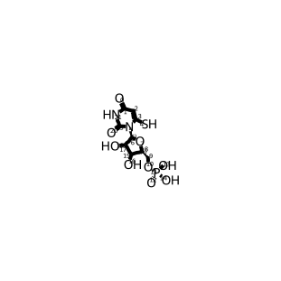 O=c1cc(S)n([C@H]2O[C@@H](COP(=O)(O)O)C(O)C2O)c(=O)[nH]1